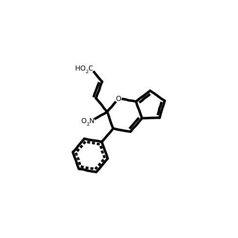 O=C(O)C=CC1([N+](=O)[O-])OC2=CC=CC2=CC1c1ccccc1